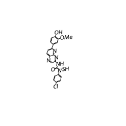 COc1cc(-c2ccc3ncc(NC(=O)N(S)c4ccc(Cl)cc4)nc3n2)ccc1O